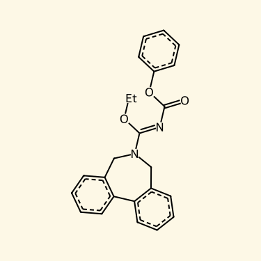 CCOC(=NC(=O)Oc1ccccc1)N1Cc2ccccc2-c2ccccc2C1